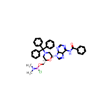 CN(C)P(Cl)OC[C@@H]1CN(C(c2ccccc2)(c2ccccc2)c2ccccc2)C[C@H](N2C=NC3C(NC(=O)c4ccccc4)=NC=NC32)O1